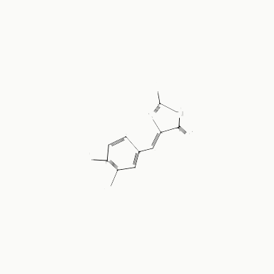 CC1=N/C(=C\c2ccc(O)c(Cl)c2)C(=O)N1